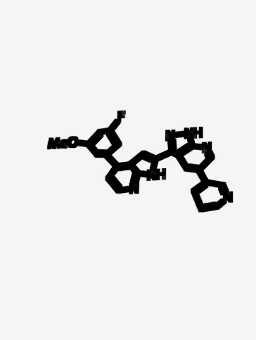 COc1cc(F)cc(-c2ccnc3[nH]c(-c4n[nH]c5ncc(-c6cccnc6)cc45)cc23)c1